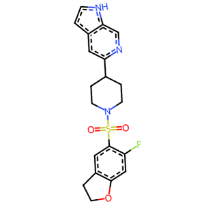 O=S(=O)(c1cc2c(cc1F)OCC2)N1CCC(c2cc3cc[nH]c3cn2)CC1